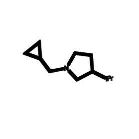 CC(C)C1CCN(CC2CC2)C1